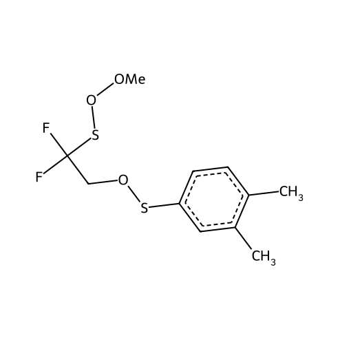 COOSC(F)(F)COSc1ccc(C)c(C)c1